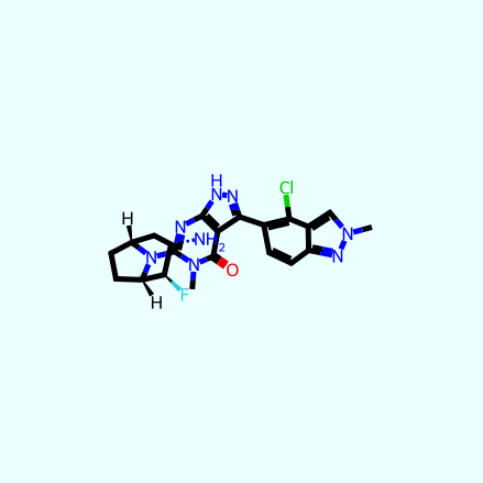 Cn1cc2c(Cl)c(-c3n[nH]c4nc(N5[C@@H]6CC[C@H]5[C@H](F)[C@@H](N)C6)n(C)c(=O)c34)ccc2n1